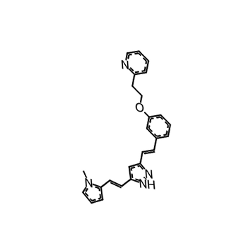 Cn1cccc1C=Cc1cc(C=Cc2cccc(OCCc3ccccn3)c2)n[nH]1